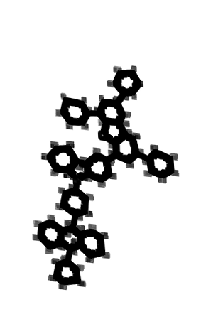 c1ccc(-c2cc(-c3ccccc3)c3oc4c(-c5ccc6c(c5)c5ccccc5n6-c5ccc(-c6c7ccccc7c(-c7ccccc7)c7ccccc67)cc5)cc(-c5ccccc5)cc4c3c2)cc1